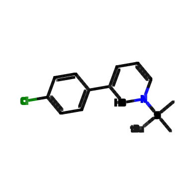 CC(C)(C)[Si](C)(C)N1BC(c2ccc(Cl)cc2)=CC=C1